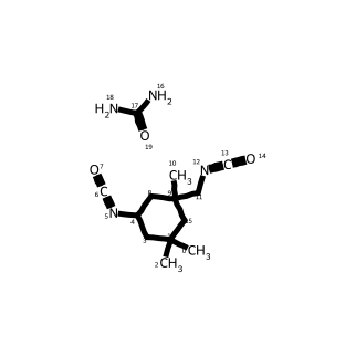 CC1(C)CC(N=C=O)CC(C)(CN=C=O)C1.NC(N)=O